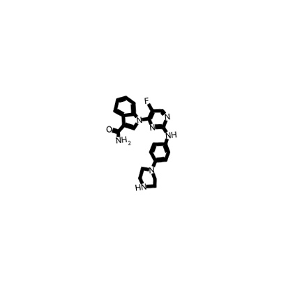 NC(=O)c1cn(-c2nc(Nc3ccc(N4CCNCC4)cc3)ncc2F)c2ccccc12